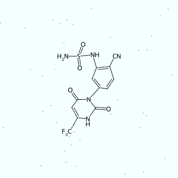 N#Cc1ccc(-n2c(=O)cc(C(F)(F)F)[nH]c2=O)cc1NS(N)(=O)=O